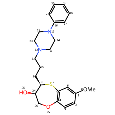 COc1ccc2c(c1)S[C@H](CCCN1CCN(c3ccccc3)CC1)[C@H](O)CO2